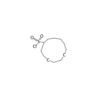 O=S(=O)(Cl)C1CCCCCCCCCCC1